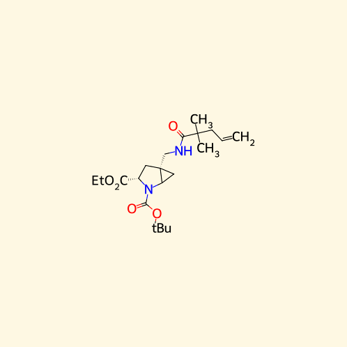 C=CCC(C)(C)C(=O)NC[C@]12CC1N(C(=O)OC(C)(C)C)[C@H](C(=O)OCC)C2